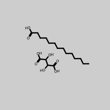 CCCCCCCCCCCCCC(=O)O.O=C(O)C(O)C(O)C(=O)O